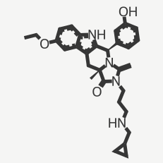 C=C1N(CCCNCC2CC2)C(=O)[C@]2(C)Cc3c([nH]c4ccc(OCC)cc34)[C@@H](c3cccc(O)c3)N12